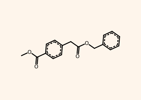 COC(=O)c1ccc(CC(=O)OCc2ccccc2)cc1